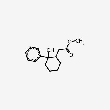 COC(=O)CC1CCCCC1(O)c1ccccc1